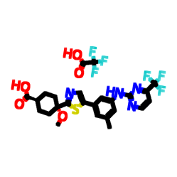 CO[C@]1(c2ncc(-c3cc(C)cc(Nc4nccc(C(F)(F)F)n4)c3)s2)CC[C@H](C(=O)O)CC1.O=C(O)C(F)(F)F